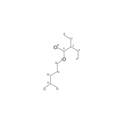 CCC(CC)C(Cl)OCCCC(C)C